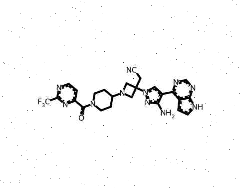 N#CCC1(n2cc(-c3ncnc4[nH]ccc34)c(N)n2)CN(C2CCN(C(=O)c3ccnc(C(F)(F)F)n3)CC2)C1